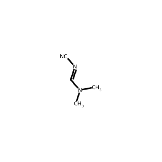 CN(C)C=NC#N